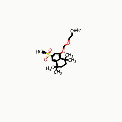 C#CS(=O)(=O)c1cc(OCOCCOC)c2c(c1)C(C)(C)CCC2(C)C